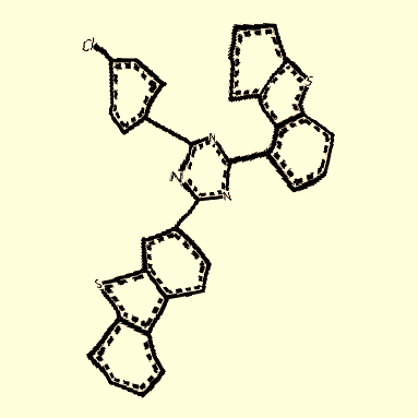 Clc1ccc(-c2nc(-c3ccc4c(c3)sc3ccccc34)nc(-c3cccc4sc5ccccc5c34)n2)cc1